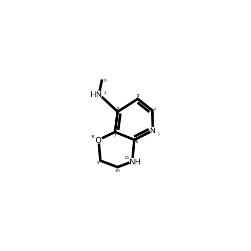 CNc1ccnc2c1OCCN2